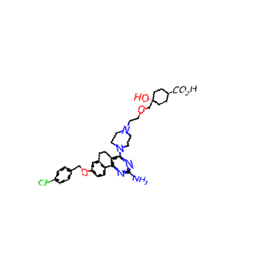 Nc1nc2c(c(N3CCN(CCOC[C@]4(O)CC[C@H](C(=O)O)CC4)CC3)n1)CCc1cc(OCc3ccc(Cl)cc3)ccc1-2